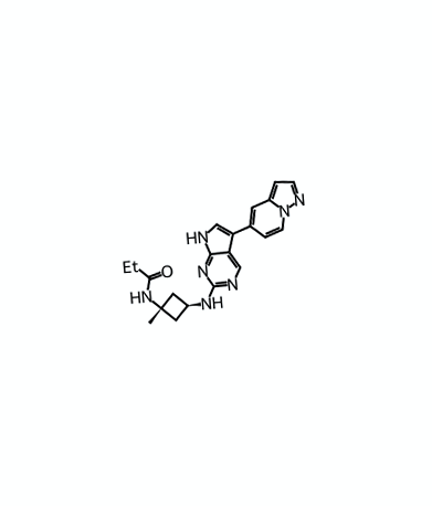 CCC(=O)N[C@]1(C)C[C@@H](Nc2ncc3c(-c4ccn5nccc5c4)c[nH]c3n2)C1